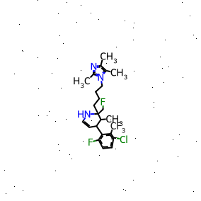 Cc1nc(C)n(CCCCC2(CF)NC=CC(c3c(F)ccc(Cl)c3C(F)(F)F)C2C)c1C